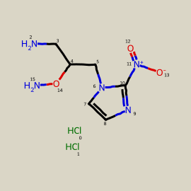 Cl.Cl.NCC(Cn1ccnc1[N+](=O)[O-])ON